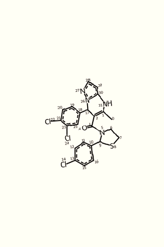 CC1=C(C(=O)N2CCSC2c2ccc(Cl)cc2)C(c2ccc(Cl)c(Cl)c2)n2nccc2N1